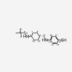 CC(C)(C)SN[C@H]1CC[C@H](CNc2ccc(S)cc2)CC1